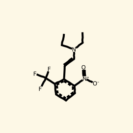 CCN(C=Cc1c([N+](=O)[O-])cccc1C(F)(F)F)CC